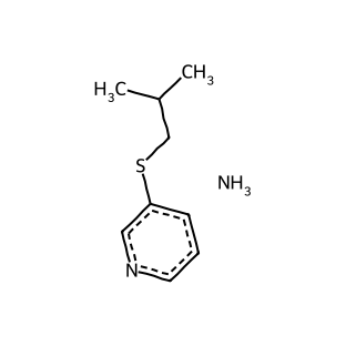 CC(C)CSc1cccnc1.N